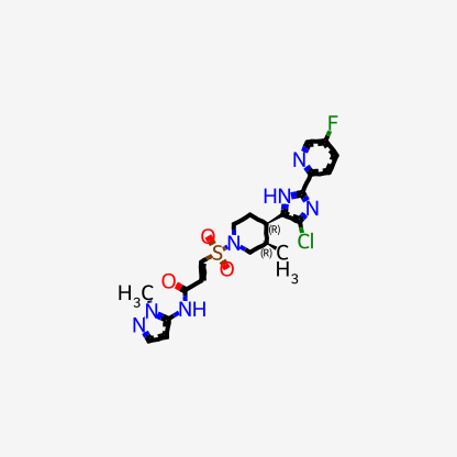 C[C@H]1CN(S(=O)(=O)C=CC(=O)Nc2ccnn2C)CC[C@H]1c1[nH]c(-c2ccc(F)cn2)nc1Cl